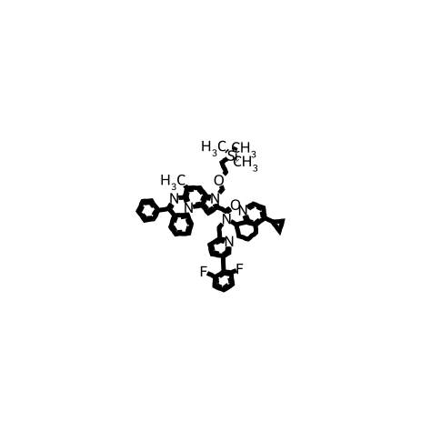 Cc1cc2c(cc(C(=O)N(Cc3ccc(-c4c(F)cccc4F)cn3)C3CCCc4c(C5CC5)ccnc43)n2COCC[Si](C)(C)C)nc1N=C(c1ccccc1)c1ccccc1